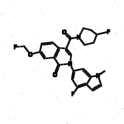 Cn1ccc2c(F)cc(-n3cc(C(=O)N4CCC(F)CC4)c4ccc(OCF)cc4c3=O)cc21